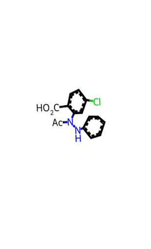 CC(=O)N(Nc1ccccc1)c1cc(Cl)ccc1C(=O)O